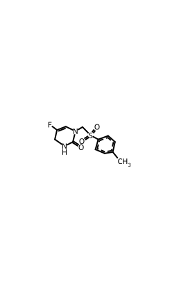 Cc1ccc(S(=O)(=O)CN2C=C(F)CNC2=O)cc1